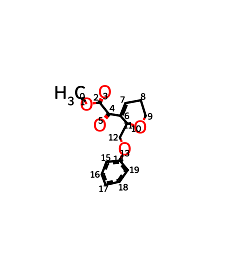 COC(=O)C(=O)C1=CCCOC1COc1ccccc1